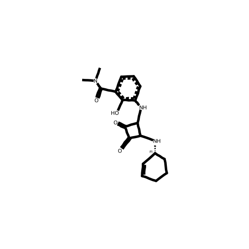 CN(C)C(=O)c1cccc(NC2C(=O)C(=O)C2N[C@H]2C=CCCC2)c1O